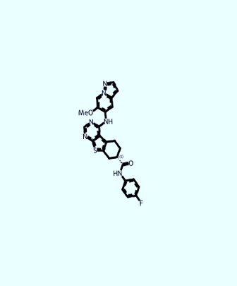 COc1cn2nccc2cc1Nc1ncnc2sc3c(c12)CC[C@H](C(=O)Nc1ccc(F)cc1)C3